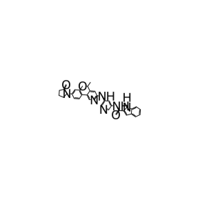 CC1Oc2cc(N3CCCC3=O)ccc2-c2cnc(Nc3cncc(NC(=O)c4cc5ccccc5[nH]4)c3)cc21